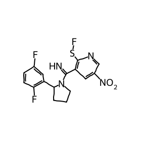 N=C(c1cc([N+](=O)[O-])cnc1SF)N1CCCC1c1cc(F)ccc1F